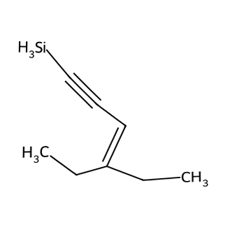 CCC(=CC#C[SiH3])CC